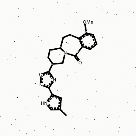 COc1cccc2c1CCC1CCC(c3nc(-c4cc(C)c[nH]4)no3)CN1C2=O